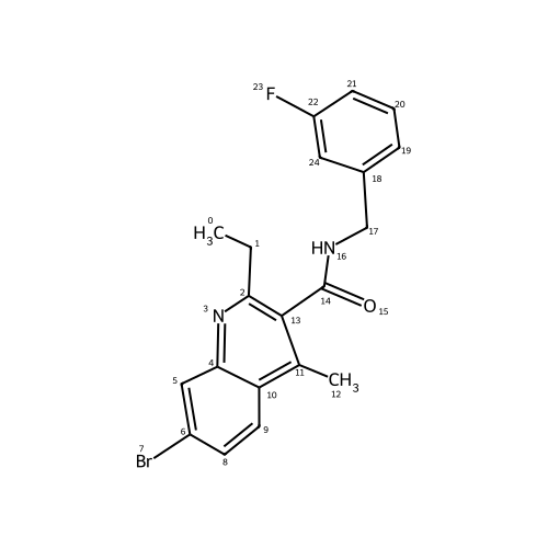 CCc1nc2cc(Br)ccc2c(C)c1C(=O)NCc1cccc(F)c1